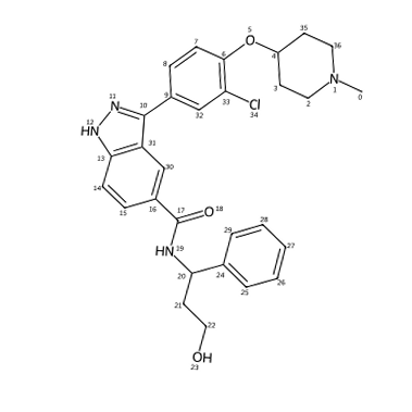 CN1CCC(Oc2ccc(-c3n[nH]c4ccc(C(=O)NC(CCO)c5ccccc5)cc34)cc2Cl)CC1